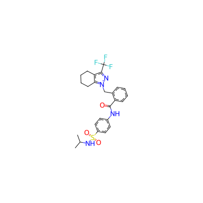 CC(C)NS(=O)(=O)c1ccc(NC(=O)c2ccccc2Cn2nc(C(F)(F)F)c3c2CCCC3)cc1